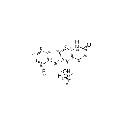 Br.O.O.O=C1CCc2cc(Cc3ccccc3Br)ccc2N1